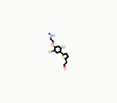 CNCCOc1ccc(-c2ccc(CC=O)s2)cc1Cl.Cl